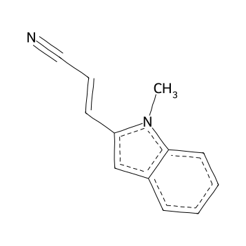 Cn1c(C=CC#N)cc2ccccc21